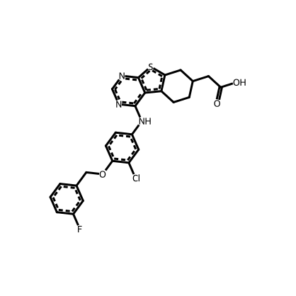 O=C(O)CC1CCc2c(sc3ncnc(Nc4ccc(OCc5cccc(F)c5)c(Cl)c4)c23)C1